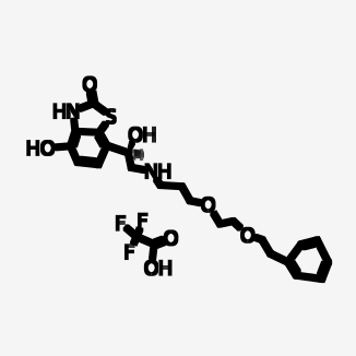 O=C(O)C(F)(F)F.O=c1[nH]c2c(O)ccc([C@@H](O)CNCCCOCCOCCc3ccccc3)c2s1